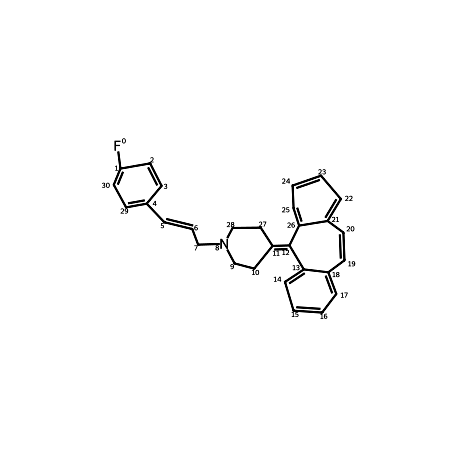 Fc1ccc(C=CCN2CCC(=C3c4ccccc4C=Cc4ccccc43)CC2)cc1